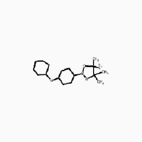 CC1(C)OB(C2CCC(OC3CCCCC3)CC2)OC1(C)C